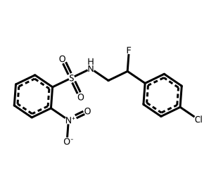 O=[N+]([O-])c1ccccc1S(=O)(=O)NCC(F)c1ccc(Cl)cc1